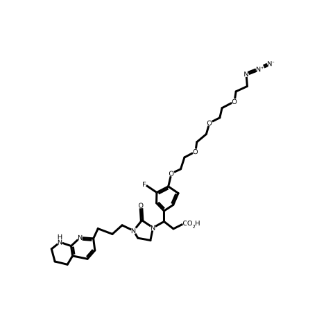 [N-]=[N+]=NCCOCCOCCOCCOc1ccc(C(CC(=O)O)N2CCN(CCCc3ccc4c(n3)NCCC4)C2=O)cc1F